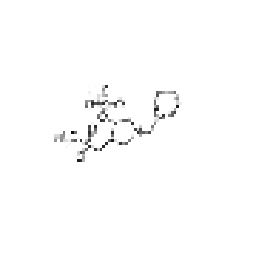 CS(=O)(=O)CC1CN(Cc2ccccc2)CC1OS(C)(=O)=O